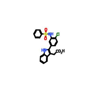 O=C(O)Cc1c(-c2ccc(Cl)c(NS(=O)(=O)c3ccccc3)c2)[nH]c2ccccc12